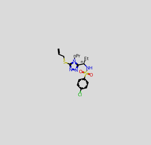 C=CCSc1nnc([C@@H](CC)NS(=O)(=O)c2ccc(Cl)cc2)n1CCC